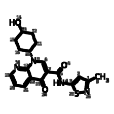 Cc1cc(NC(=O)c2cn([C@H]3CC[C@H](O)CC3)c3ncccc3c2=O)sn1